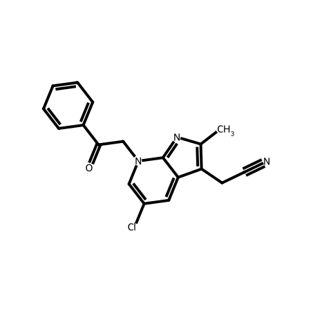 Cc1nc2n(CC(=O)c3ccccc3)cc(Cl)cc-2c1CC#N